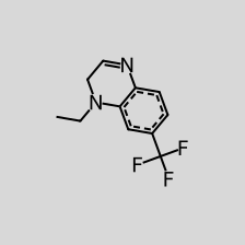 CCN1CC=Nc2ccc(C(F)(F)F)cc21